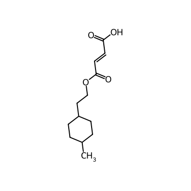 CC1CCC(CCOC(=O)/C=C/C(=O)O)CC1